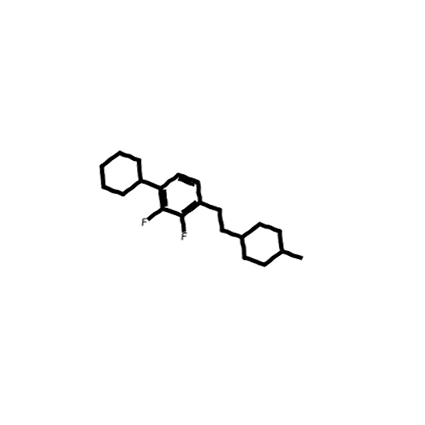 CC1CCC(CCc2ccc(C3CCCCC3)c(F)c2F)CC1